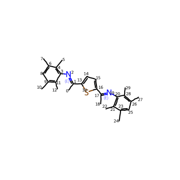 C/C(=N\c1c(C)c(C)cc(C)c1C)c1ccc(/C(C)=N/c2c(C)c(C)cc(C)c2C)s1